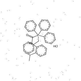 CC(C)c1ccccc1NC(=O)P(Cc1ccccc1)(c1ccccc1)(c1ccccc1)c1ccccc1.Cl